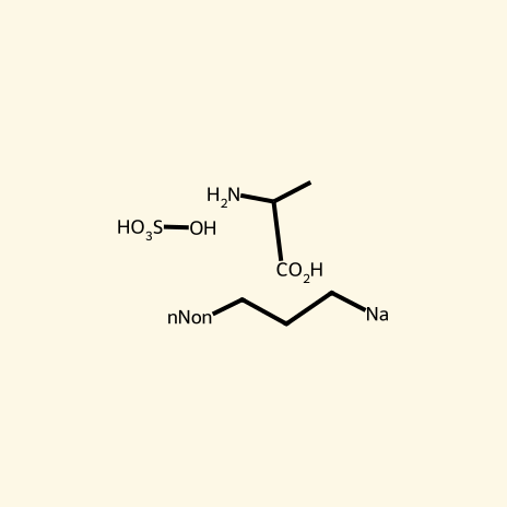 CC(N)C(=O)O.CCCCCCCCCCC[CH2][Na].O=S(=O)(O)O